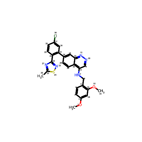 COc1ccc(CNc2cnnc3cc(-c4cc(Cl)ccc4-c4nsc(C)n4)ccc23)c(OC)c1